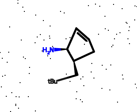 CC(C)(C)C[C@@H]1CC=C[C@@H]1N